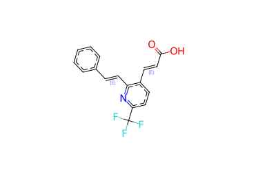 O=C(O)/C=C/c1ccc(C(F)(F)F)nc1/C=C/c1ccccc1